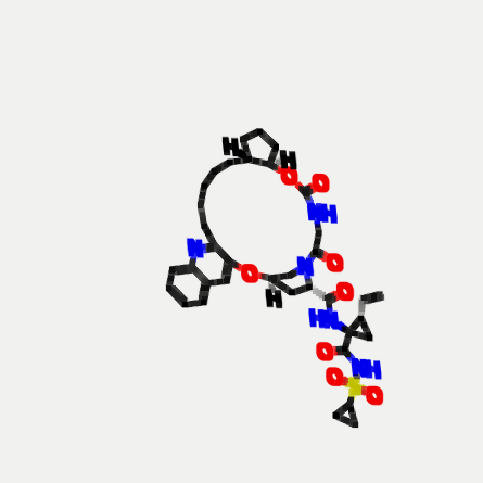 C=C[C@@H]1C[C@]1(NC(=O)[C@@H]1C[C@@H]2CN1C(=O)CNC(=O)O[C@@H]1CCC[C@H]1CCCCCc1nc3ccccc3cc1O2)C(=O)NS(=O)(=O)C1CC1